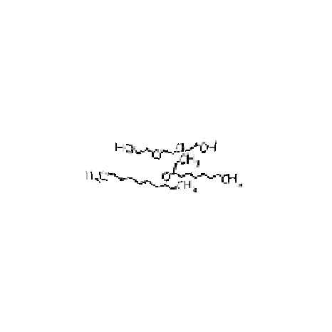 CCCCCCCC(CC)OC(CC)CCCCCCC.OCCOCCOCCO